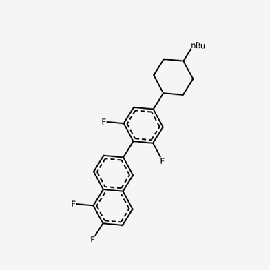 CCCCC1CCC(c2cc(F)c(-c3ccc4c(F)c(F)ccc4c3)c(F)c2)CC1